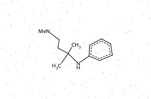 CNCCC(C)(C)Nc1ccccc1